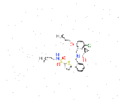 CCCNS(=O)(=O)c1ccc(-c2ccccc2CN(Cc2cc(Cl)ccc2OCCC)C(=O)C2CC2)s1